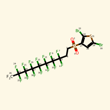 O=S(=O)(CCC(F)(F)C(F)(F)C(F)(F)C(F)(F)C(F)(F)C(F)(F)C(F)(F)C(F)(F)F)c1cc(Br)sc1Br